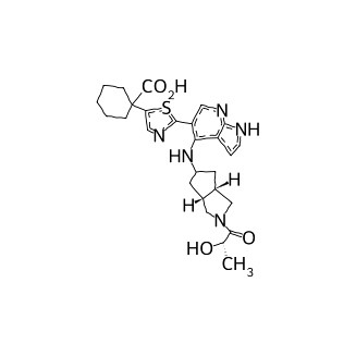 C[C@H](O)C(=O)N1C[C@H]2CC(Nc3c(-c4ncc(C5(C(=O)O)CCCCC5)s4)cnc4[nH]ccc34)C[C@H]2C1